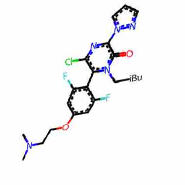 CCC(C)Cn1c(-c2c(F)cc(OCCN(C)C)cc2F)c(Cl)nc(-n2cccn2)c1=O